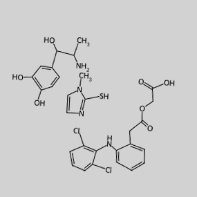 CC(N)C(O)c1ccc(O)c(O)c1.Cn1ccnc1S.O=C(O)COC(=O)Cc1ccccc1Nc1c(Cl)cccc1Cl